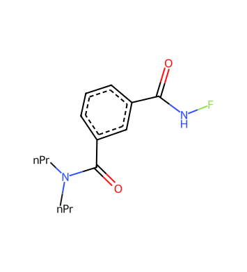 CCCN(CCC)C(=O)c1cccc(C(=O)NF)c1